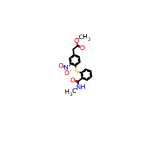 CNC(=O)c1ccccc1Sc1ccc(CC(=O)OC)cc1[N+](=O)[O-]